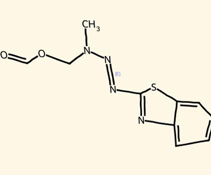 CN(COC=O)/N=N/c1nc2ccccc2s1